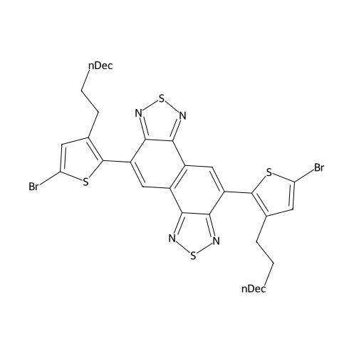 CCCCCCCCCCCCc1cc(Br)sc1-c1cc2c(cc(-c3sc(Br)cc3CCCCCCCCCCCC)c3nsnc32)c2nsnc12